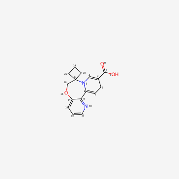 O=C(O)C1=CN2C(=CC1)c1ncccc1OCC21CCC1